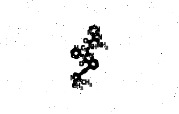 Cc1c(C#Cc2cccc3nc([C@H](C)NC(=O)c4c(N)nn5nccnc45)n(-c4ccccc4)c(=O)c23)cnn1C